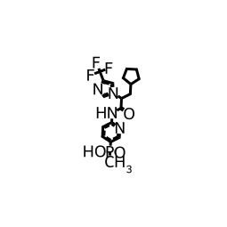 CP(=O)(O)c1ccc(NC(=O)C(CC2CCCC2)n2cnc(C(F)(F)F)c2)nc1